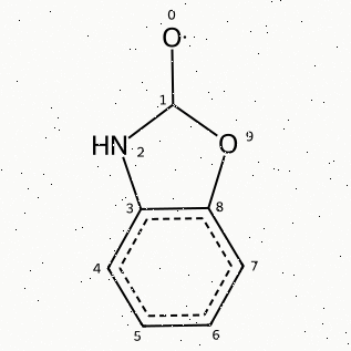 [O]C1Nc2ccccc2O1